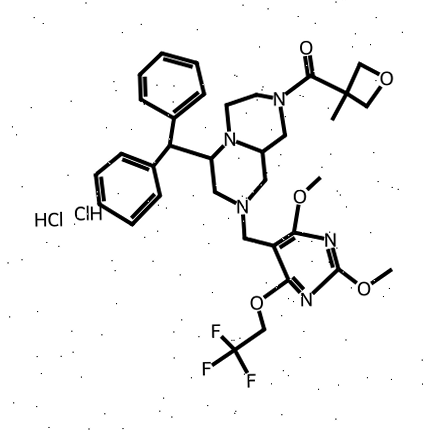 COc1nc(OC)c(CN2CC3CN(C(=O)C4(C)COC4)CCN3C(C(c3ccccc3)c3ccccc3)C2)c(OCC(F)(F)F)n1.Cl.Cl